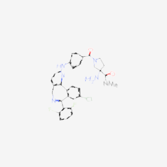 CNC(=O)C1(N)CCN(C(=O)c2ccc(Nc3ccc4c(n3)-c3ccc(Cl)cc3C(c3c(F)cccc3F)=NC4)cc2)C1